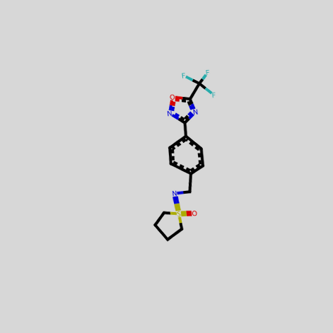 O=S1(=NCc2ccc(-c3noc(C(F)(F)F)n3)cc2)CCCC1